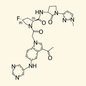 CC(=O)c1cn(CC(=O)N2C[C@H](F)C[C@H]2C(=O)NC2CCN(c3ccn(C)n3)C2=O)c2ccc(Nc3cncnc3)cc12